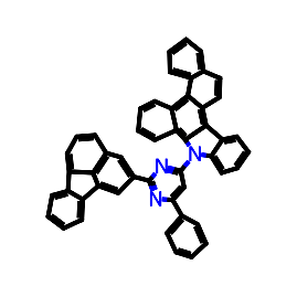 c1ccc(-c2cc(-n3c4ccccc4c4c5ccc6ccccc6c5c5ccccc5c43)nc(-c3cc4c5c(cccc5c3)-c3ccccc3-4)n2)cc1